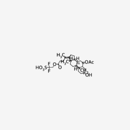 CC(=O)O[C@H]1C[C@H]2[C@@H]3CC[C@H]([C@H](C)CCC(=O)OCC(F)(F)S(=O)(=O)O)[C@@]3(C)CC[C@@H]2[C@@]2(C)CC[C@@H](O)CC12